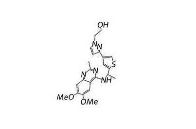 COc1cc2nc(C)nc(NC(C)c3cc(-c4ccn(CCO)n4)cs3)c2cc1OC